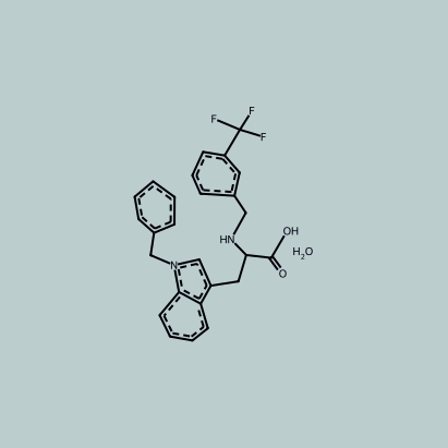 O.O=C(O)C(Cc1cn(Cc2ccccc2)c2ccccc12)NCc1cccc(C(F)(F)F)c1